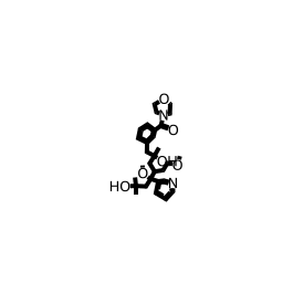 COCCC(CC(C)(O)Cc1cccc(C(=O)N2CCOCC2)c1)C(CC(C)(C)O)(OC)c1cccnc1